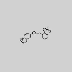 Cc1ccccc1CCOc1ccc2ncccc2c1